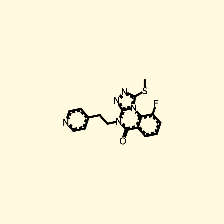 CSc1nnc2n(CCc3ccncc3)c(=O)c3cccc(F)c3n12